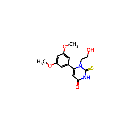 COc1cc(OC)cc(-c2cc(=O)[nH]c(=S)n2CCO)c1